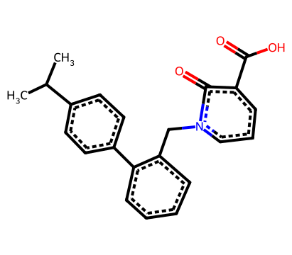 CC(C)c1ccc(-c2ccccc2Cn2cccc(C(=O)O)c2=O)cc1